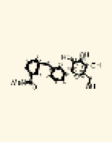 CNC(=O)c1cccc(Cc2cccc([C@H]3O[C@H](CO)[C@@H](O)[C@H](O)[C@@H]3O)c2)c1